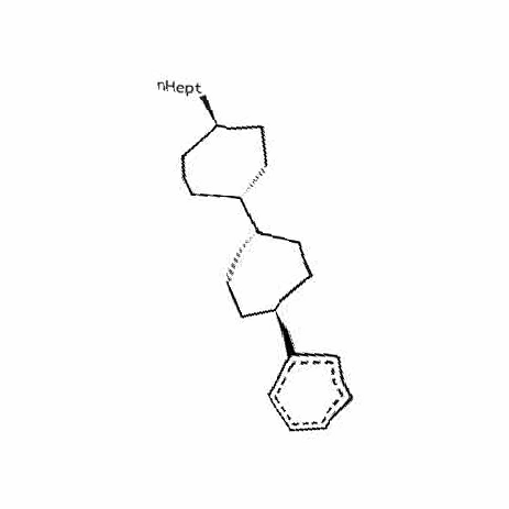 CCCCCCC[C@H]1CC[C@H]([C@H]2CC[C@H](c3ccccc3)CC2)CC1